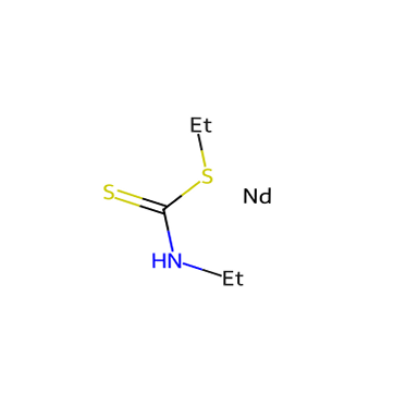 CCNC(=S)SCC.[Nd]